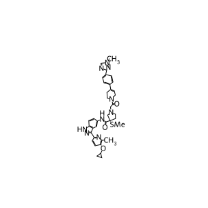 CSC1(C(=O)Nc2ccc3[nH]nc(-c4ccc(OC5CC5)c(C)n4)c3c2)CCN(CC(=O)N2CC=C(c3ccc(-c4ncn(C)n4)cc3)CC2)C1